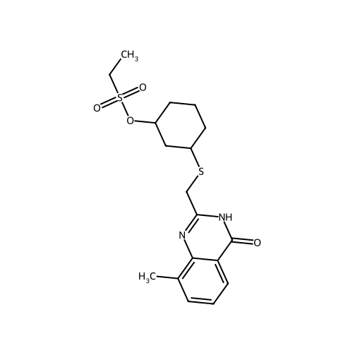 CCS(=O)(=O)OC1CCCC(SCc2nc3c(C)cccc3c(=O)[nH]2)C1